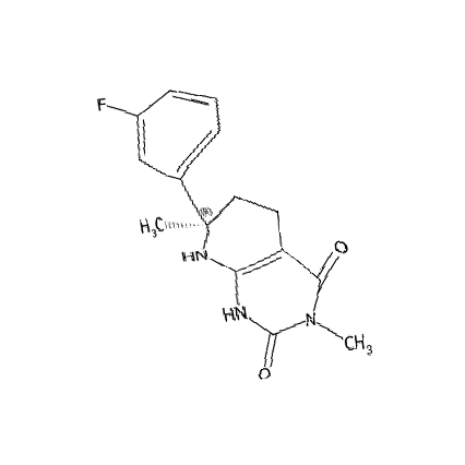 Cn1c(=O)[nH]c2c(c1=O)CC[C@](C)(c1cccc(F)c1)N2